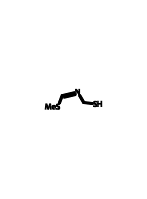 CS/C=N\CS